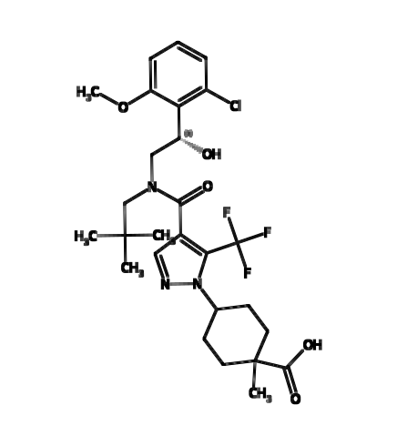 COc1cccc(Cl)c1[C@H](O)CN(CC(C)(C)C)C(=O)c1cnn(C2CCC(C)(C(=O)O)CC2)c1C(F)(F)F